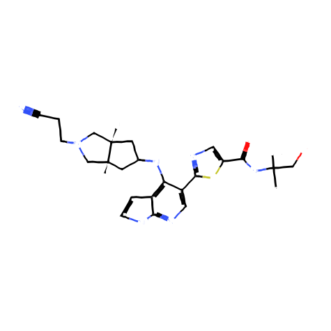 CC(C)(CO)NC(=O)c1cnc(-c2cnc3[nH]ccc3c2NC2C[C@@H]3CN(CCC#N)C[C@@H]3C2)s1